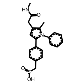 CNC(=O)Cc1cc(-c2ccc(CS(=O)O)cc2)n(-c2ccccc2)c1C